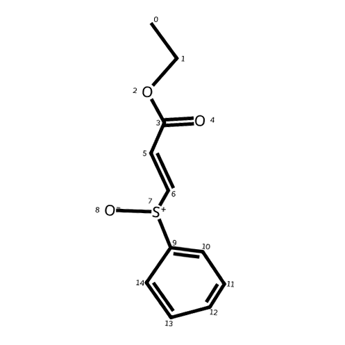 CCOC(=O)/C=C/[S+]([O-])c1ccccc1